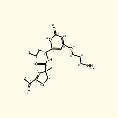 CCC[C@@H](NC(=O)[C@]1(C)CSC(C(C)=O)=N1)c1cc(OCCCN)cc(=O)o1